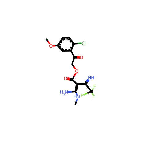 CN/C(N)=C(\C(=N)C(F)(F)F)C(=O)OCC(=O)c1cc(OC)ccc1Cl